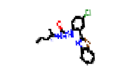 C=C/C=C(\C)NC(=O)Nc1ccc(Cl)cc1-c1nc2ccccc2s1